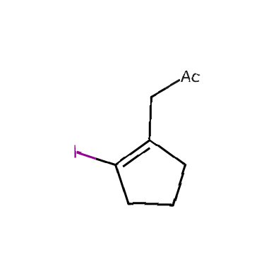 CC(=O)CC1=C(I)CCC1